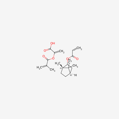 C=C(C)C(=O)OC(=C)C(=O)O.C=CC(=O)OC1C[C@H]2CC[C@@]1(C)C2(C)C